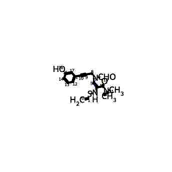 C=CSN/C(=C/N(C=O)CC#Cc1cccc(O)c1)C(=O)N(C)C